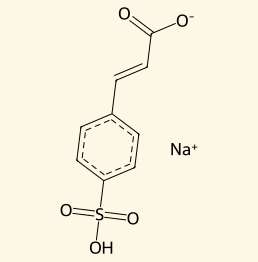 O=C([O-])/C=C/c1ccc(S(=O)(=O)O)cc1.[Na+]